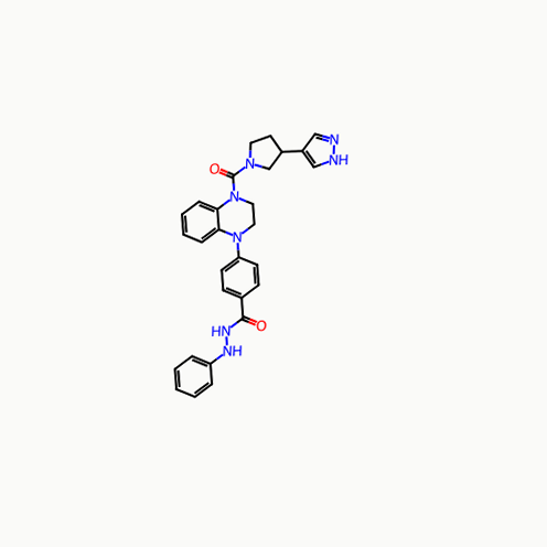 O=C(NNc1ccccc1)c1ccc(N2CCN(C(=O)N3CCC(c4cn[nH]c4)C3)c3ccccc32)cc1